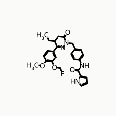 CCC1CC(=O)N(Cc2ccc(NC(=O)c3ccc[nH]3)cc2)N=C1c1ccc(OC)c(OCF)c1